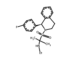 CCNC(C)(C)S(=O)(=O)N1CCc2ccccc2[C@@H]1c1ccc(F)cc1